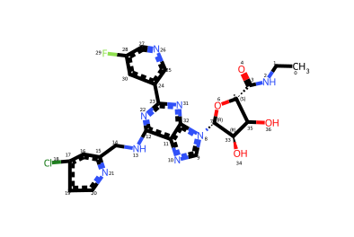 CCNC(=O)[C@H]1O[C@@H](n2cnc3c(NCc4cc(Cl)ccn4)nc(-c4cncc(F)c4)nc32)[C@H](O)C1O